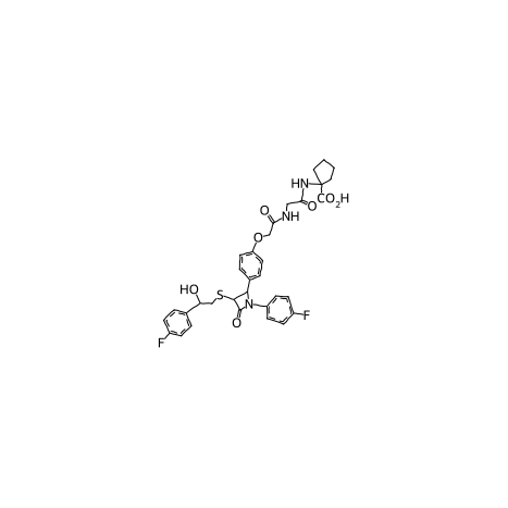 O=C(COc1ccc(C2C(SCC(O)c3ccc(F)cc3)C(=O)N2c2ccc(F)cc2)cc1)NCC(=O)NC1(C(=O)O)CCCC1